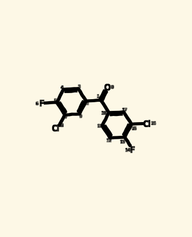 O=C(c1ccc(F)c(Cl)c1)c1ccc(F)c(Cl)c1